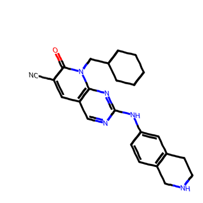 N#Cc1cc2cnc(Nc3ccc4c(c3)CCNC4)nc2n(CC2CCCCC2)c1=O